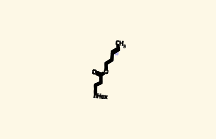 C/C=C/CCOC(=O)CCCCCCCC